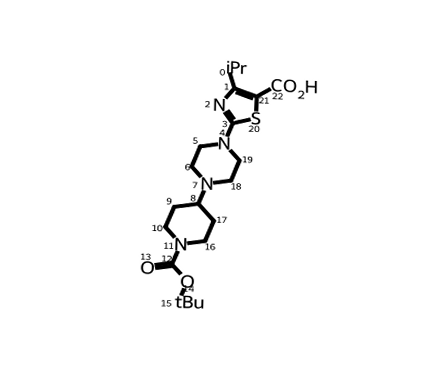 CC(C)c1nc(N2CCN(C3CCN(C(=O)OC(C)(C)C)CC3)CC2)sc1C(=O)O